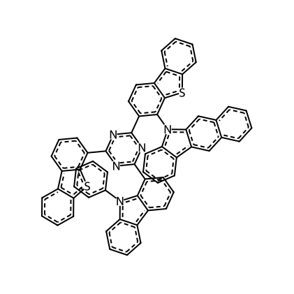 c1ccc(-n2c3ccccc3c3cccc(-c4nc(-c5ccc6c(sc7ccccc76)c5-n5c6ccccc6c6cc7ccccc7cc65)nc(-c5cccc6c5sc5ccccc56)n4)c32)cc1